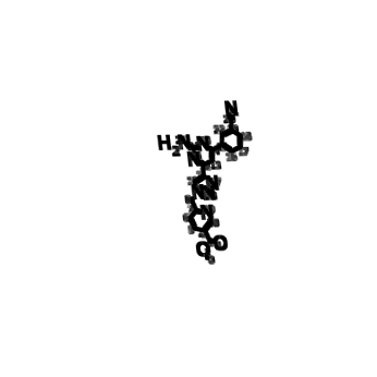 COC(=O)c1ccc(Cn2cc(-c3cc(-c4cccc(C#N)c4)nc(N)n3)nn2)nc1